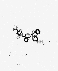 N[C@@H]1CCN(C(=O)N2CCC(Cn3cnc(C(F)F)cc3=O)C3(CCCC3)C2)[C@H](c2ccccc2)C1